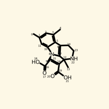 Cc1cc(C)c2c3c(n(C)c2c1)C(C)(C(=CC(=O)O)C(=O)O)NCC3